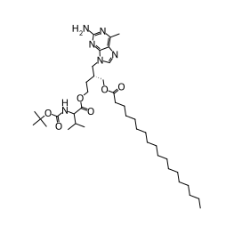 CCCCCCCCCCCCCCCCCC(=O)OC[C@H](CCOC(=O)C(NC(=O)OC(C)(C)C)C(C)C)Cn1cnc2c(C)nc(N)nc21